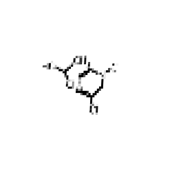 CC(C)O.ClC1=CC=CN(Cl)C1